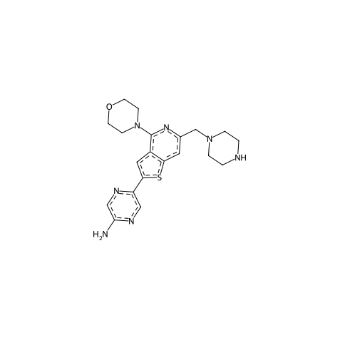 Nc1cnc(-c2cc3c(N4CCOCC4)nc(CN4CCNCC4)cc3s2)cn1